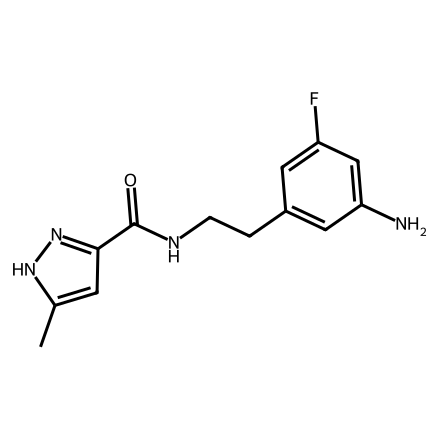 Cc1cc(C(=O)NCCc2cc(N)cc(F)c2)n[nH]1